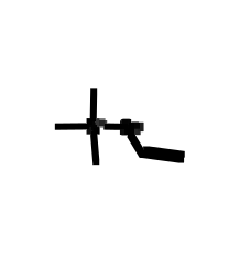 C=[CH][Sn][N+](C)(C)C